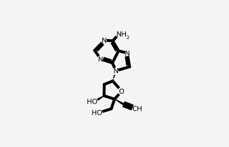 C#C[C@]1(CO)O[C@@H](n2cnc3c(N)ncnc32)C[C@@H]1O